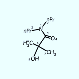 CCCN(CCC)C(=O)C(C)(C)O